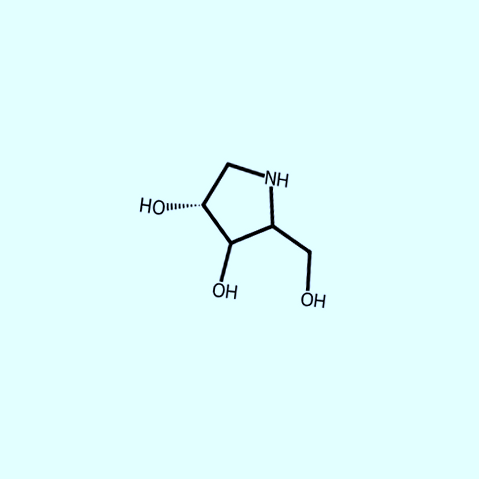 OCC1NC[C@@H](O)C1O